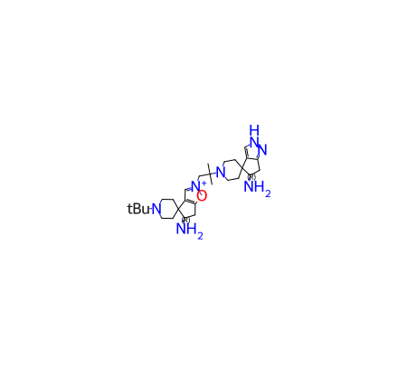 CC(C)(C)N1CCC2(CC1)c1c[n+](CC(C)(C)N3CCC4(CC3)c3c[nH]nc3C[C@H]4N)oc1C[C@H]2N